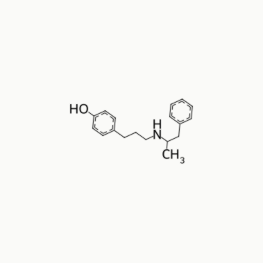 CC(Cc1ccccc1)NCCCc1ccc(O)cc1